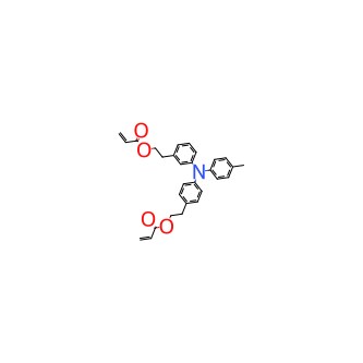 C=CC(=O)OCCc1ccc(N(c2ccc(C)cc2)c2cccc(CCOC(=O)C=C)c2)cc1